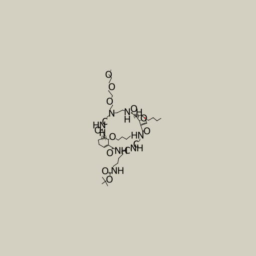 CCCCOC1C2=CCC[C@@H]1C(=O)NCCN(CCOCCOCCOC)CCNC(=O)[C@@H]1CCC=C(C(=O)NCCNCC(CCCCNC(=O)OC(C)(C)C)NC2=O)C1OCCCC